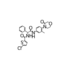 Cc1cc(NC(=O)[C@@H](NC(=O)c2ccc(Cl)s2)c2ccccc2)ccc1N1CCOCC1=O